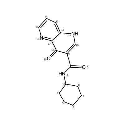 O=C(NC1CCCCC1)c1c[nH]c2cccnc2c1=O